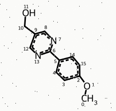 COc1ccc(-c2ncc(CO)cn2)cc1